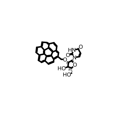 O=c1ccn([C@@H]2O[C@H](CO)C(O)[C@@H]2OCc2cc3ccc4ccc5ccc6ccc7ccc2c2c7c6c5c4c32)c(=O)[nH]1